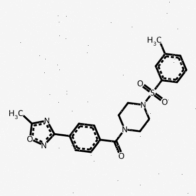 Cc1cccc(S(=O)(=O)N2CCN(C(=O)c3ccc(-c4noc(C)n4)cc3)CC2)c1